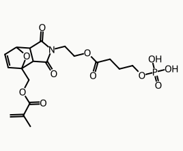 C=C(C)C(=O)OCC12C=CC(O1)C1C(=O)N(CCOC(=O)CCCOP(=O)(O)O)C(=O)C12